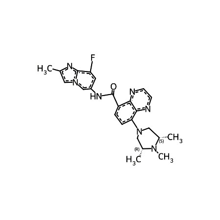 Cc1cn2cc(NC(=O)c3ccc(N4C[C@@H](C)N(C)[C@@H](C)C4)c4nccnc34)cc(F)c2n1